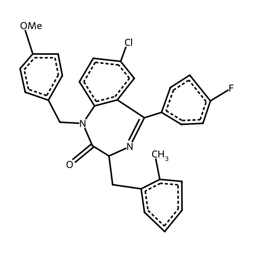 COc1ccc(CN2C(=O)C(Cc3ccccc3C)N=C(c3ccc(F)cc3)c3cc(Cl)ccc32)cc1